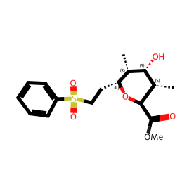 COC(=O)C1O[C@H](CCS(=O)(=O)c2ccccc2)[C@H](C)[C@H](O)[C@@H]1C